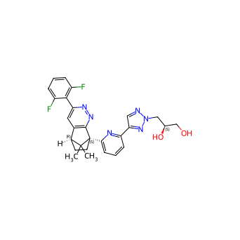 CC1(C)[C@H]2CC[C@]1(c1cccc(-c3cnn(C[C@H](O)CO)n3)n1)c1nnc(-c3c(F)cccc3F)cc12